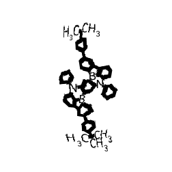 CC(C)c1ccc(-c2ccc3c(c2)-c2cccc4c2B3c2cc3c(cc2N4c2ccccc2)B2c4ccc(-c5ccc(C(C)(C)C)cc5)cc4-c4cccc(c42)N3c2ccccc2)cc1